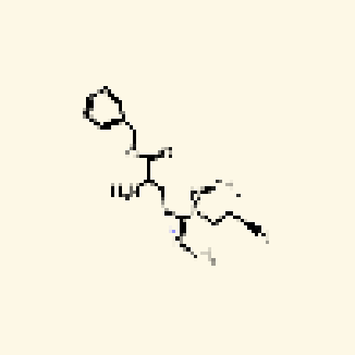 C=NN(CCC#N)/C(CCC(N)C(=O)OCc1ccccc1)=N\N